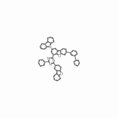 c1ccc(-c2cccc(-c3ccc4c(c3)oc3c(-c5nc(-c6ccccc6)nc(-c6ccc7oc8ccccc8c7c6)n5)cc(-n5c6ccccc6c6ccccc65)cc34)c2)cc1